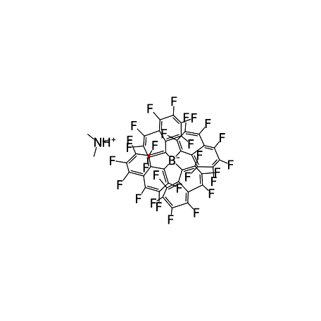 C[NH+](C)C.Fc1c(F)c(F)c2c([B-](c3c(F)c(F)c(F)c4c(F)c(F)c(F)c(F)c34)(c3c(F)c(F)c(F)c4c(F)c(F)c(F)c(F)c34)c3c(F)c(F)c(F)c4c(F)c(F)c(F)c(F)c34)c(F)c(F)c(F)c2c1F